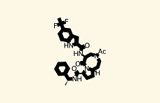 CC(=O)N1CC[C@H]2CC[C@@H](C(=O)N[C@H](C)c3ccccc3)N2C(=O)[C@@H](NC(=O)c2cc3cc(C(C)(F)F)ccc3[nH]2)C1